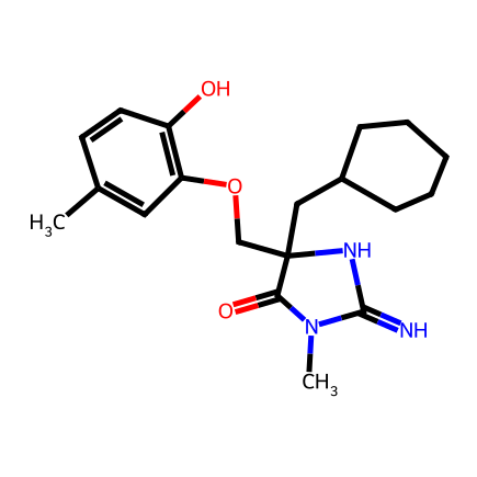 Cc1ccc(O)c(OCC2(CC3CCCCC3)NC(=N)N(C)C2=O)c1